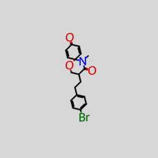 CN1C(=O)C(CCc2ccc(Br)cc2)COC12C=CC(=O)C=C2